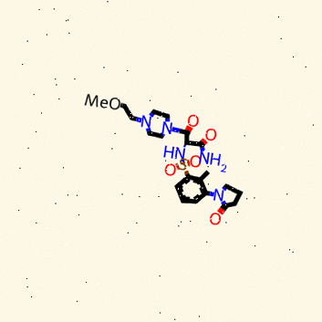 COCCN1CCN(C(=O)[C@@H](NS(=O)(=O)c2cccc(N3CCCC3=O)c2C)C(N)=O)CC1